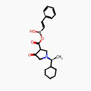 C[C@@H](C1CCCCC1)N1CC(=O)C(C(=O)OB(O)/C=C/c2ccccc2)C1